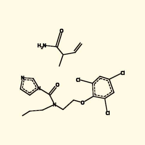 C=CC(C)C(N)=O.CCCN(CCOc1c(Cl)cc(Cl)cc1Cl)C(=O)n1ccnc1